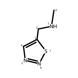 CNCc1cnns1